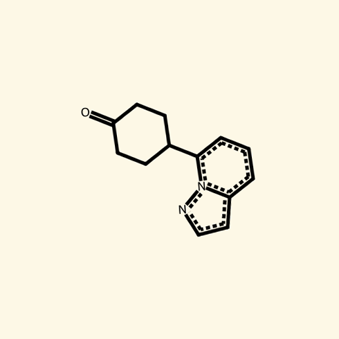 O=C1CCC(c2cccc3ccnn23)CC1